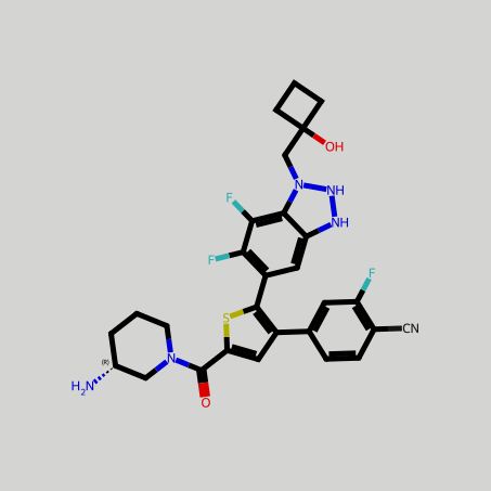 N#Cc1ccc(-c2cc(C(=O)N3CCC[C@@H](N)C3)sc2-c2cc3c(c(F)c2F)N(CC2(O)CCC2)NN3)cc1F